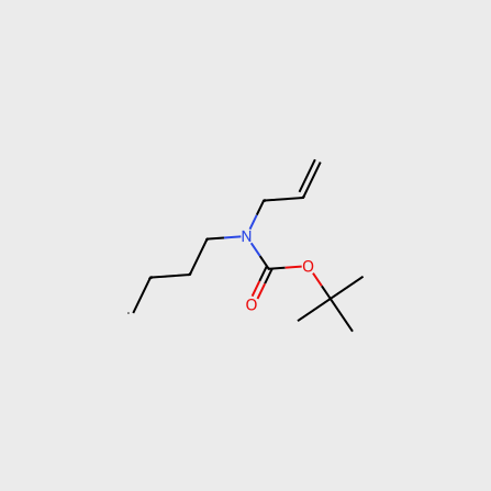 [CH2]CCCN(CC=C)C(=O)OC(C)(C)C